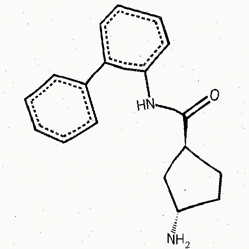 N[C@H]1CC[C@H](C(=O)Nc2ccccc2-c2ccccc2)C1